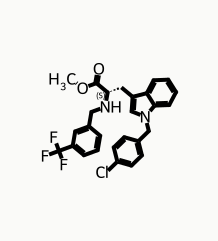 COC(=O)[C@H](Cc1cn(Cc2ccc(Cl)cc2)c2ccccc12)NCc1cccc(C(F)(F)F)c1